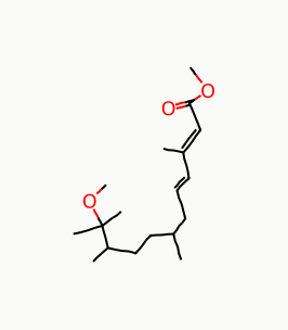 COC(=O)/C=C(C)/C=C/CC(C)CCC(C)C(C)(C)OC